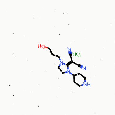 Cl.N#CC(C#N)=C1N(CCCO)CCN1C1CCNCC1